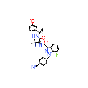 COc1cccc(C2(NC(=O)[C@@H](NC(=O)c3nn(Cc4ccc(C#N)cc4)c4c(F)cccc34)C(C)(C)C)CC2)c1